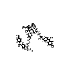 CC(C)NC(=O)C(C(C(=O)NC(C)C)N1CCN(CCCCCN(C)c2ccc(C(=O)c3ccc(Cl)cc3)cc2)CC1)N1CCN(CCCCCNc2ccc(C(=O)c3ccc(Cl)cc3)cc2)CC1